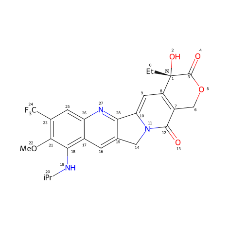 CC[C@@]1(O)C(=O)OCc2c1cc1n(c2=O)Cc2cc3c(NC(C)C)c(OC)c(C(F)(F)F)cc3nc2-1